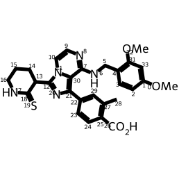 COc1ccc(CNc2nccn3c(C4CCCNC4=S)nc(-c4ccc(C(=O)O)c(C)c4)c23)c(OC)c1